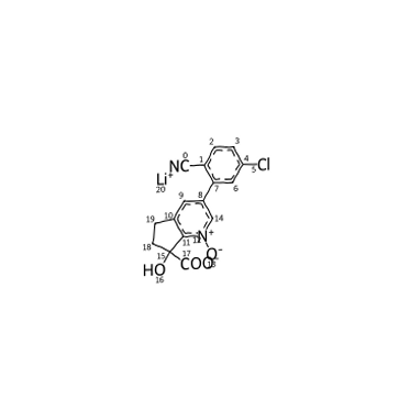 N#Cc1ccc(Cl)cc1-c1cc2c([n+]([O-])c1)C(O)(C(=O)[O-])CC2.[Li+]